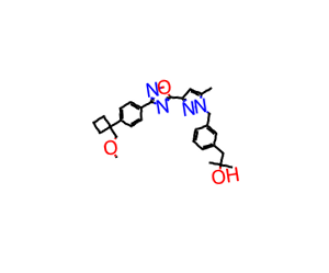 COCC1(c2ccc(-c3noc(-c4cc(C)n(Cc5cccc(CC(C)(C)O)c5)n4)n3)cc2)CCC1